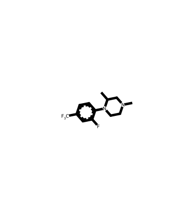 CC1CN(C)CCN1c1ccc(C(F)(F)F)cc1F